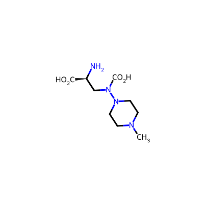 CN1CCN(N(C[C@H](N)C(=O)O)C(=O)O)CC1